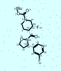 CC(C)(C)OC(=O)N1CC[C@@H](C(=O)N2OCC[C@H]2c2cncc(F)c2)[C@@H](F)C1